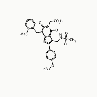 CCCCOc1ccc(-c2sc3c(c2CNS(C)(=O)=O)c(=O)n(CC(=O)O)c(=O)n3Cc2ccccc2SC)cc1